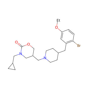 CCOc1ccc(Br)c(CC2CCN(CC3COC(=O)N(CC4CC4)C3)CC2)c1